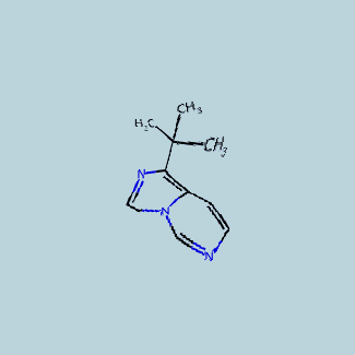 CC(C)(C)c1ncn2cnccc12